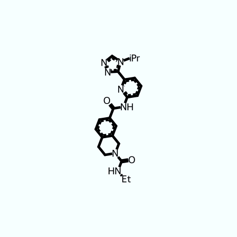 CCNC(=O)N1CCc2ccc(C(=O)Nc3cccc(-c4nncn4C(C)C)n3)cc2C1